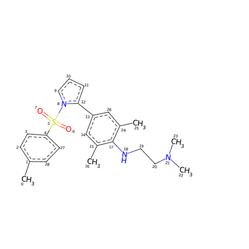 Cc1ccc(S(=O)(=O)n2cccc2-c2cc(C)c(NCCN(C)C)c(C)c2)cc1